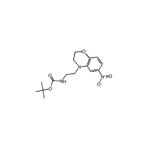 CC(C)(C)OC(=O)NCCN1CCOc2ccc([N+](=O)[O-])cc21